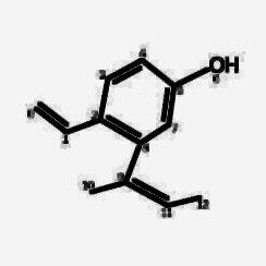 C=Cc1ccc(O)cc1/C(C)=C\C